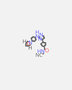 N#CCNC(=O)c1ccc(-c2ccnc(Nc3ccc(N4C[C@H]5C[C@@H](C4)O5)cc3)n2)cc1